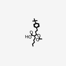 CCCCCC(C(=O)O)C(CCc1ccc(C(C)(C)C)cc1)OC(C)=O